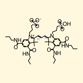 CCCNC(=O)c1cc(C(=O)NCCC)c2c(c1)N(CCCS(=O)(=O)O)/C(=C/C=C/C1=[N+](CCCS(=O)(=O)[O-])c3cc(C(=O)NCCC)cc(C(=O)NCCC)c3C1(C)C)C2(C)C